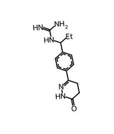 CCC(NC(=N)N)c1ccc(C2=NNC(=O)CC2)cc1